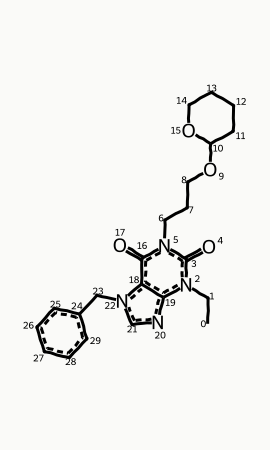 CCn1c(=O)n(CCCOC2CCCCO2)c(=O)c2c1ncn2Cc1ccccc1